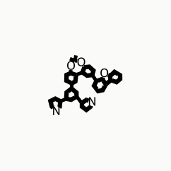 CC1(C)Oc2ccc(-c3cc(-c4cccnc4)cc(-c4cccnc4)c3)cc2-c2cc(-c3cccc4c3oc3ccccc34)ccc2O1